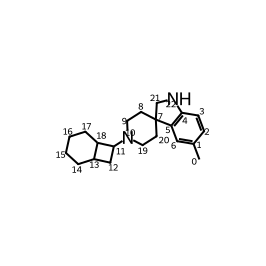 Cc1ccc2c(c1)C1(CCN(C3CC4CCCCC43)CC1)CN2